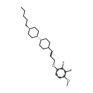 CCCCC[C@H]1CC[C@H](C2CCC(/C=C/COc3ccc(OC)c(F)c3F)CC2)CC1